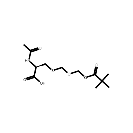 CC(=O)N[C@@H](CSCOCOC(=O)C(C)(C)C)C(=O)O